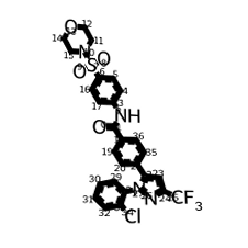 O=C(Nc1ccc(S(=O)(=O)N2CCOCC2)cc1)c1ccc(-c2cc(C(F)(F)F)nn2-c2ccccc2Cl)cc1